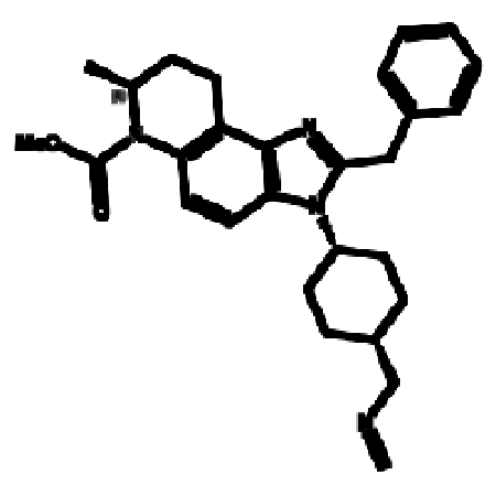 C=NC[C@H]1CC[C@H](n2c(Cc3ccccc3)nc3c4c(ccc32)N(C(=O)OC)[C@@H](C)CC4)CC1